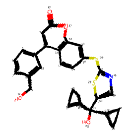 O=c1cc(-c2cccc(CO)c2)c2ccc(Sc3ncc(C(O)(C4CC4)C4CC4)s3)cc2o1